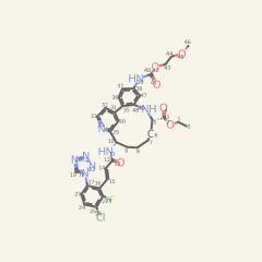 CCOC(=O)[C@@H]1CCCC[C@H](NC(=O)/C=C/c2c(-n3cnnn3)ccc(Cl)c2F)c2cc(ccn2)-c2ccc(NC(=O)OCCOC)cc2N1